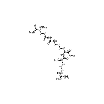 CNC(=O)C(CCC(=O)NC(=O)NCCCCC(NC(=O)C(N)CCCNC(=N)N)C(=O)NC)NC